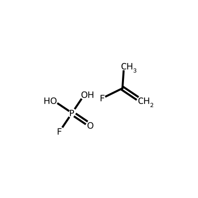 C=C(C)F.O=P(O)(O)F